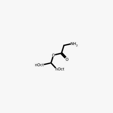 CCCCCCCCC(CCCCCCCC)OC(=O)CN